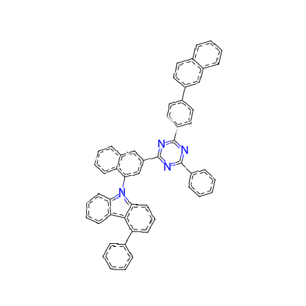 c1ccc(-c2nc(-c3ccc(-c4ccc5ccccc5c4)cc3)nc(-c3cc(-n4c5ccccc5c5c(-c6ccccc6)cccc54)c4ccccc4c3)n2)cc1